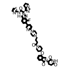 O=C1CC[C@@H](N2Cc3c(OC4CCN(C(=O)CCCN5CCN(c6ccc(-c7ccc8cn([C@@H](C(=O)Nc9nccs9)c9ncn%10c9CCC%10)nc8c7F)cn6)CC5)CC4)cccc3C2=O)C(=O)N1